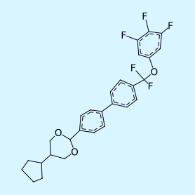 Fc1cc(OC(F)(F)c2ccc(-c3ccc(C4OCC(C5CCCC5)CO4)cc3)cc2)cc(F)c1F